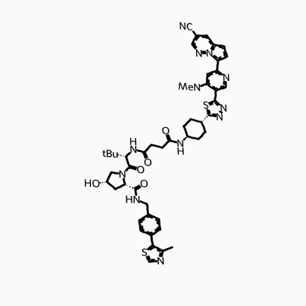 CNc1cc(-c2ccc3cc(C#N)cnn23)ncc1-c1nnc([C@H]2CC[C@H](NC(=O)CCC(=O)N[C@H](C(=O)N3C[C@@H](O)C[C@H]3C(=O)NCc3ccc(-c4scnc4C)cc3)C(C)(C)C)CC2)s1